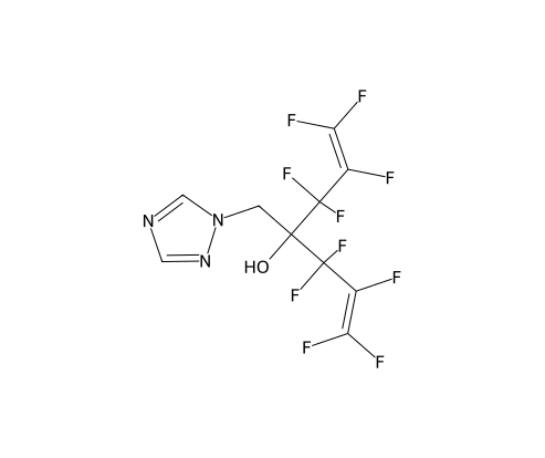 OC(Cn1cncn1)(C(F)(F)C(F)=C(F)F)C(F)(F)C(F)=C(F)F